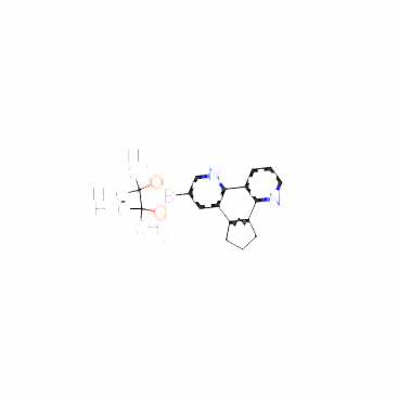 CC1(C)OB(c2cnc3c(c2)C24CCCC2(CCC4)c2ncccc2-3)OC1(C)C